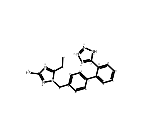 CCc1nc(S)nn1Cc1ccc(-c2ccccc2-c2nnn[nH]2)cc1